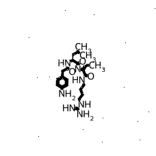 Cc1oc([C@H](CC(C)C)NC(=O)Cc2ccc(N)cc2)nc1C(=O)NCCCCNC(=N)N